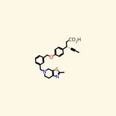 CC#C[C@@H](CC(=O)O)c1ccc(OCc2cccc(CN3CCc4nc(C)sc4C3)c2)cc1